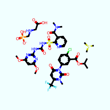 CC(C)OC(=O)c1cc(-n2c(=O)cc(C(F)(F)F)n(C)c2=O)ccc1Cl.COc1cc(OC)nc(NC(=O)NS(=O)(=O)c2ncccc2C(=O)N(C)C)n1.C[S+](C)C.O=C(O)CNCP(=O)([O-])O